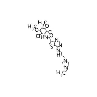 CCN1CCN(CCCNc2ncnc3c(C(=O)Nc4c(Cl)c(OC)cc(OC)c4Cl)csc23)CC1